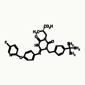 BC(B)(B)c1ccc(Cn2c(=O)n(C[C@H](C)C(=O)O)c(=O)[nH]/c2=N\c2ccc(Oc3ccc(F)cn3)cc2)cc1